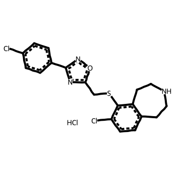 Cl.Clc1ccc(-c2noc(CSc3c(Cl)ccc4c3CCNCC4)n2)cc1